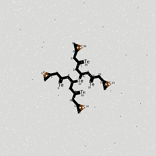 [Te]=C(CC1CS1)CC(CC(=[Te])CC1CS1)[Te]C(CC(=[Te])CC1CS1)CC(=[Te])CC1CS1